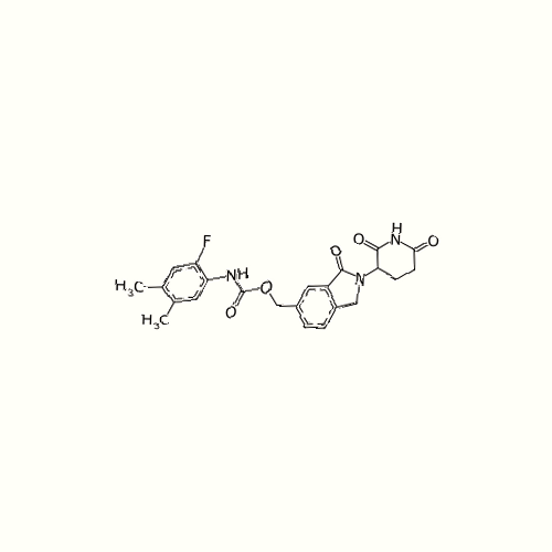 Cc1cc(F)c(NC(=O)OCc2ccc3c(c2)C(=O)N(C2CCC(=O)NC2=O)C3)cc1C